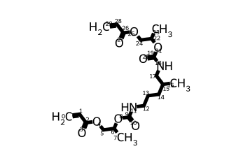 C=CC(=O)OCC(C)OC(=O)NCCCC(C)CNC(=O)OC(C)COC(=O)C=C